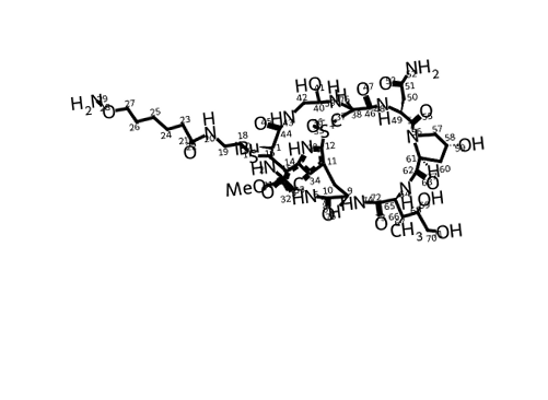 CC[C@H](C)[C@@H]1NC(=O)CNC(=O)[C@@H]2Cc3c([nH]c4c(CSCCNC(=O)CCCCCON)c(OC)ccc34)[S+]([O-])C[C@H](NC(O)CNC1=O)C(=O)N[C@@H](CC(N)=O)C(=O)N1C[C@H](O)C[C@H]1C(=O)N[C@@H]([C@@H](C)[C@@H](O)CO)C(=O)N2